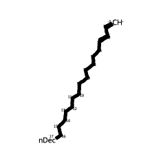 [CH]=C/C=C/CCCCCCCCCCCCCCCCCCCCCCC